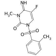 Cc1ccccc1S(=O)(=O)n1cc(F)c(=N)n(C)c1=O